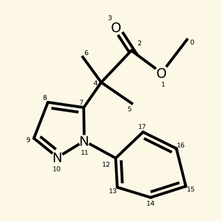 COC(=O)C(C)(C)c1ccnn1-c1ccccc1